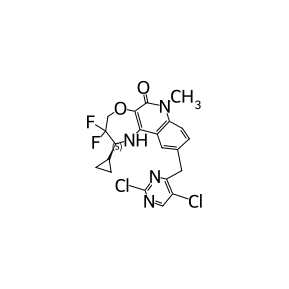 Cn1c(=O)c2c(c3cc(Cc4nc(Cl)ncc4Cl)ccc31)N[C@@H](C1CC1)C(F)(F)CO2